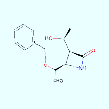 C[C@H](O)[C@H]1C(=O)N[C@H]1C(C=O)OCc1ccccc1